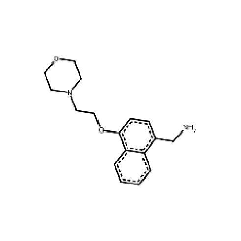 NCc1ccc(OCCN2CCOCC2)c2ccccc12